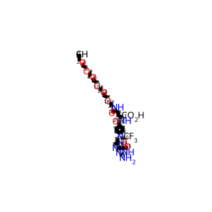 C#CCOCCOCCOCCOCCOCCOCCNC(=O)CC[C@@H](NC(=O)c1ccc(N(Cc2cnc3nc(N)[nH]c(=O)c3n2)C(=O)C(F)(F)F)cc1)C(=O)O